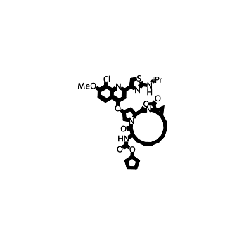 COc1ccc2c(OC3CC4C5=NC6(CC6CCCCCCCC(NC(=O)OC6CCCC6)C(=O)N4C3)C(=O)O5)cc(-c3csc(NC(C)C)n3)nc2c1Cl